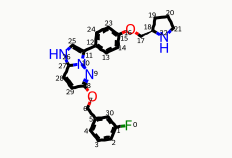 Fc1cccc(COC2=NN3C(c4ccc(OC[C@H]5CCCN5)cc4)=CNC3C=C2)c1